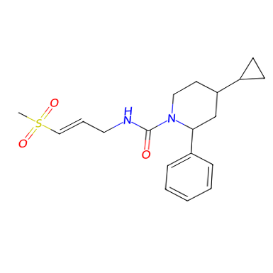 CS(=O)(=O)/C=C/CNC(=O)N1CCC(C2CC2)CC1c1ccccc1